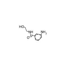 Nc1cccc([S+]([O-])NCCO)c1